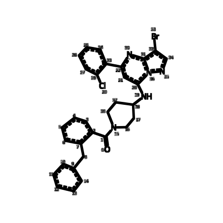 O=C(c1ccccc1Cc1ccccc1)N1CCC(Nc2cc(-c3ccccc3Cl)nc3c(Br)cnn23)CC1